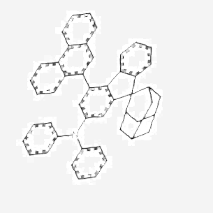 c1ccc(N(c2ccccc2)c2cc(-c3cc4ccccc4c4ccccc34)c3c(c2)C2(c4ccccc4-3)C3CC4CC(C3)CC2C4)cc1